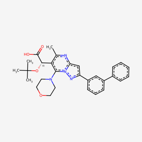 Cc1nc2cc(-c3cccc(-c4ccccc4)c3)nn2c(N2CCOCC2)c1[C@H](OC(C)(C)C)C(=O)O